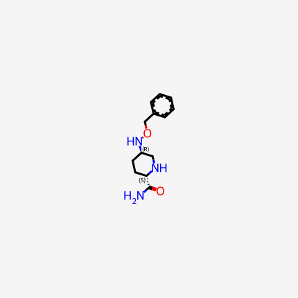 NC(=O)[C@@H]1CC[C@@H](NOCc2ccccc2)CN1